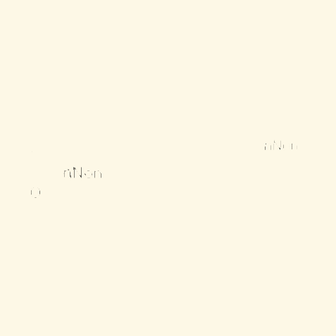 C1CO1.CCCCCCCCCCCCCCCCCCCCCC